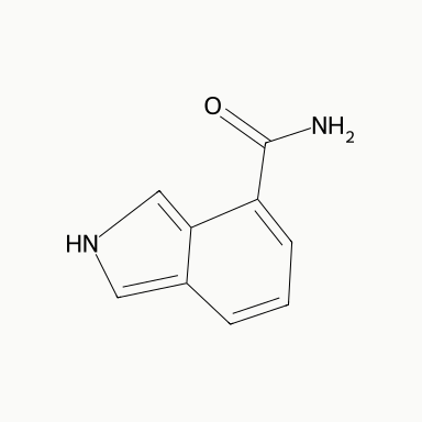 NC(=O)c1cccc2c[nH]cc12